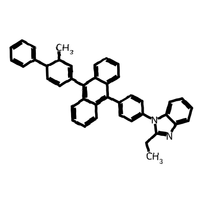 CCc1nc2ccccc2n1-c1ccc(-c2c3ccccc3c(C3=CC(C)C(c4ccccc4)C=C3)c3ccccc23)cc1